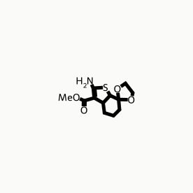 COC(=O)C1=C(N)SC2C1CCCC21OCCO1